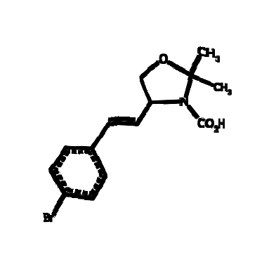 CC1(C)OCC(/C=C/c2ccc(Br)cc2)N1C(=O)O